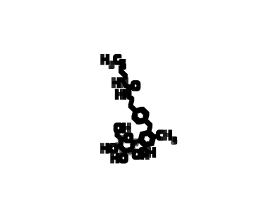 CSCCNC(=O)NCCc1ccc(Cc2cc([C@@H]3O[C@H](CO)[C@@H](O)[C@H](O)[C@H]3O)c(O)cc2C)cc1